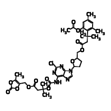 CC(=O)Oc1cc(C)cc(C)c1C(C)(C)CC(=O)OCC1CCC(n2cnc3c(NC(=O)OC(C)(C)CC(=O)OCc4oc(=O)oc4C)nc(Cl)nc32)O1